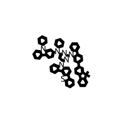 CC1(C)c2ccccc2-c2ccc(-c3ccc4c5ccccc5n(-c5nc(N(c6ccccc6)c6ccc7c8ccccc8n(-c8ccccc8)c7c6)cc(-n6c7ccccc7c7c8sc9ccccc9c8ccc76)n5)c4c3)cc21